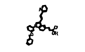 O=C(O)CCc1ccc2c(c1)c(CCc1ccccn1)cn2-c1cccc(OCc2ccccc2)c1